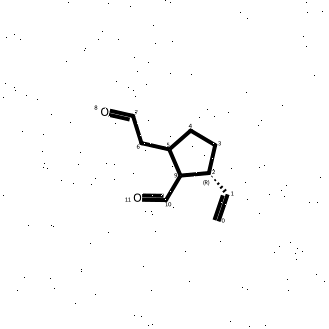 C=C[C@H]1CCC(CC=O)C1C=O